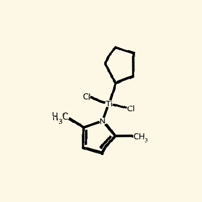 Cc1ccc(C)[n]1[Ti]([Cl])([Cl])[CH]1CCCC1